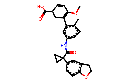 COC1=C(c2cc(NC(=O)C3(c4ccc5c(c4)CCO5)CC3)ccc2C)CC(C(=O)O)C=C1